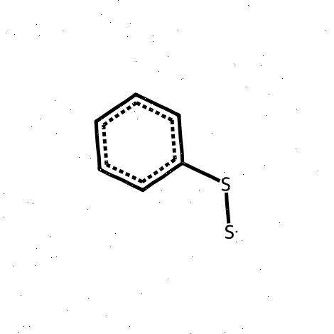 [S]Sc1ccccc1